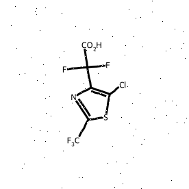 O=C(O)C(F)(F)c1nc(C(F)(F)F)sc1Cl